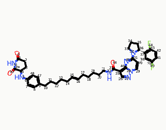 O=C1CCC(Nc2ccc(CCCCCCCCCCCCNC(=O)c3cnn4ccc(N5CCC[C@@H]5c5cc(F)ccc5F)nc34)cc2)C(=O)N1